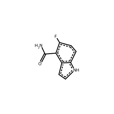 NC(=O)c1c(F)ccc2[nH]ccc12